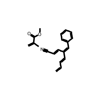 C=C(C)C(=O)OC.C=CC=CC(C=CC#N)=Cc1ccccc1